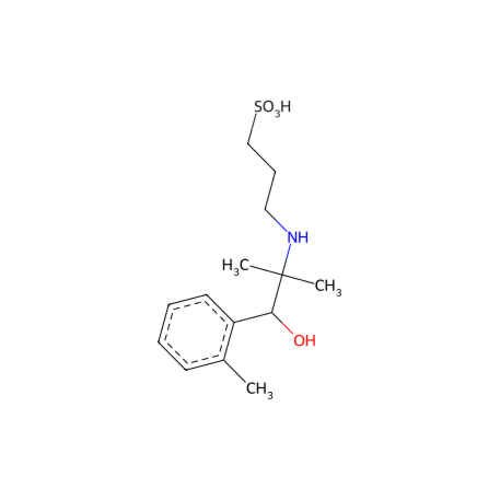 Cc1ccccc1C(O)C(C)(C)NCCCS(=O)(=O)O